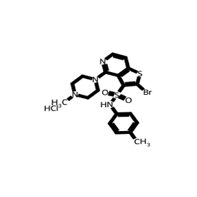 Cc1ccc(NS(=O)(=O)c2c(Br)sc3ccnc(N4CCN(C)CC4)c23)cc1.Cl